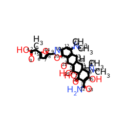 CC(C(=O)O)c1ccc(-c2nc3cc(N(C)C)c4c(c3o2)C(=O)C2=C(O)[C@]3(O)C(=O)C(C(N)=O)=C(O)[C@@H](N(C)C)[C@@H]3C[C@@H]2C4)o1